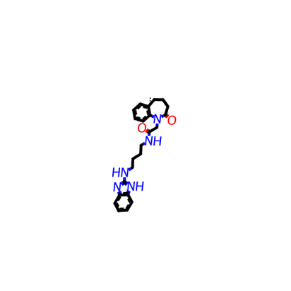 O=C(CN1C(=O)CC[C]c2ccccc21)NCCCCNc1nc2ccccc2[nH]1